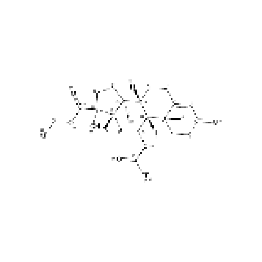 C[C@]12CCC(=O)C=C1CC[C@@H]1[C@H]2C(OC(=O)C(F)(F)F)C[C@@]2(C)[C@H]1CCC2(O)C(=O)OCCl